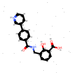 O=C(NCc1cccc(C(=O)O)c1O)c1ccc(-c2cccnc2)cc1